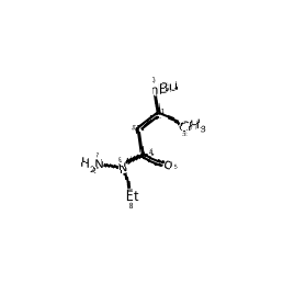 CCCC/C(C)=C/C(=O)N(N)CC